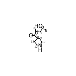 CC(O)CN(C)C(=O)C1CCNCC1